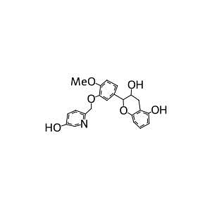 COc1ccc(C2Oc3cccc(O)c3CC2O)cc1OCc1ccc(O)cn1